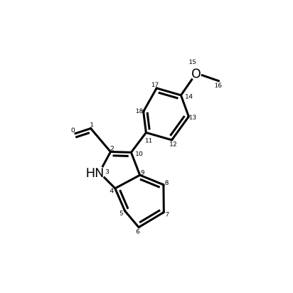 C=Cc1[nH]c2ccccc2c1-c1ccc(OC)cc1